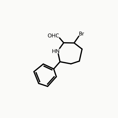 O=CC1NC(c2ccccc2)CCCC1Br